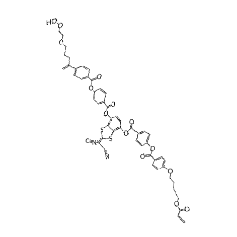 [C-]#[N+]/C(C#N)=C1/Sc2c(OC(=O)c3ccc(OC(=O)c4ccc(OCCCCOC(=O)C=C)cc4)cc3)ccc(OC(=O)c3ccc(OC(=O)c4ccc(C(=C)CCCOCCOO)cc4)cc3)c2S1